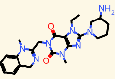 CCn1c(N2CCCC(N)C2)nc2c1c(=O)n(CC1=NCc3ccccc3N1C)c(=O)n2C